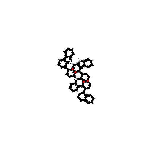 c1ccc(-c2cccc3ccccc23)c(-c2ccccc2N(c2ccc(-c3cccc4c3oc3ccccc34)cc2)c2ccccc2-c2cccc3sc4ccccc4c23)c1